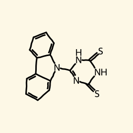 S=c1nc(-n2c3ccccc3c3ccccc32)[nH]c(=S)[nH]1